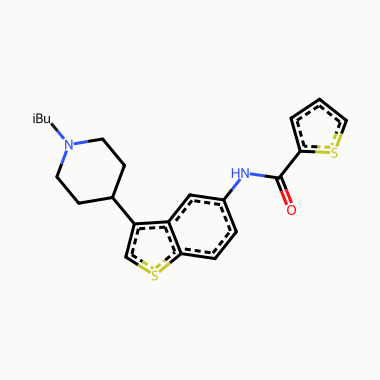 CCC(C)N1CCC(c2csc3ccc(NC(=O)c4cccs4)cc23)CC1